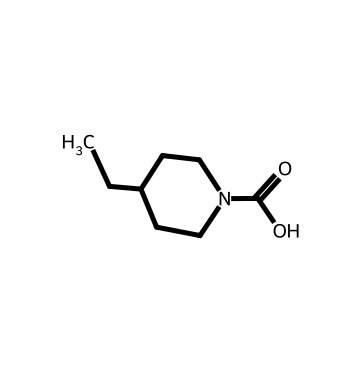 CCC1CCN(C(=O)O)CC1